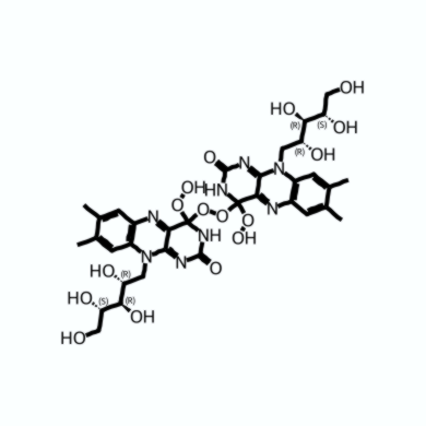 Cc1cc2c(cc1C)N(C[C@@H](O)[C@@H](O)[C@@H](O)CO)C1=NC(=O)NC(OO)(OOC3(OO)NC(=O)N=C4C3=Nc3cc(C)c(C)cc3N4C[C@@H](O)[C@@H](O)[C@@H](O)CO)C1=N2